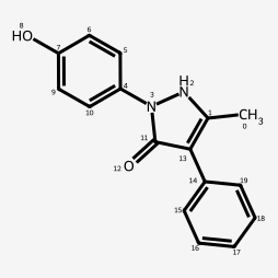 Cc1[nH]n(-c2ccc(O)cc2)c(=O)c1-c1ccccc1